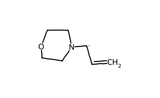 C=C[CH]N1CCOCC1